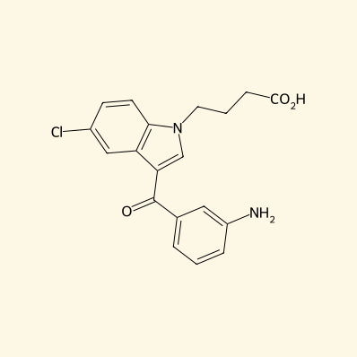 Nc1cccc(C(=O)c2cn(CCCC(=O)O)c3ccc(Cl)cc23)c1